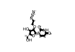 [N-]=[N+]=NCCOC1C(O)[C@@H](CO)O[C@H]1n1ccc(=O)[nH]c1=O